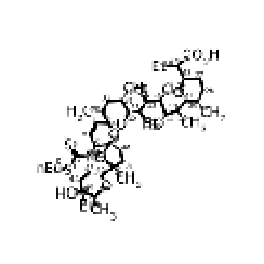 CCCCSC(=S)N[C@@H]1C=C[C@]2(O[C@H](C(CC)C(=O)[C@@H](C)[C@@H](O)[C@H](C)[C@@H]3O[C@@H]([C@@H](CC)C(=O)O)CC[C@@H]3C)[C@@H](C)C[C@H]2C)O[C@@]12CC[C@@](C)([C@H]1CC[C@](O)(CC)[C@H](C)O1)O2